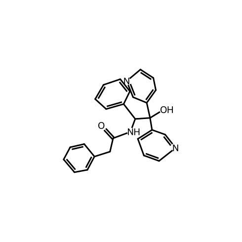 O=C(Cc1ccccc1)NC(c1ccccc1)C(O)(c1cccnc1)c1cccnc1